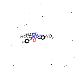 CCOC(=O)N[C@@H](Cc1ccc([N+](=O)[O-])cc1)C(=O)N[C@@H](Cc1ccc(F)cc1)C(=O)O